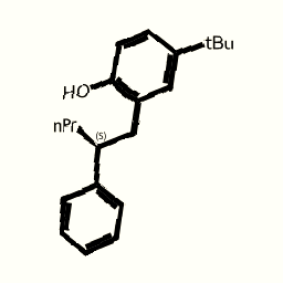 CCC[C@@H](Cc1cc(C(C)(C)C)ccc1O)c1ccccc1